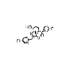 O=C([C@@H]1CC[C@@H](O)c2nn(Cc3ccc(Cl)cn3)c(=O)n21)N1CC[C@H](F)C1